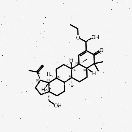 C=C(C)[C@@H]1CC[C@]2(CO)CCC3[C@H](CC[C@@H]4[C@@]5(C)C=C(C(O)OCC)C(=O)C(C)(C)[C@@H]5CC[C@@]34C)[C@@H]12